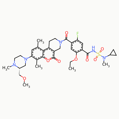 CCOc1cc(C(=O)N2CCc3c(c(=O)oc4c(C)c(N5CCN(C)[C@@H](COC)C5)cc(C)c34)C2)c(F)cc1C(=O)NS(=O)(=O)N(C)C1CC1